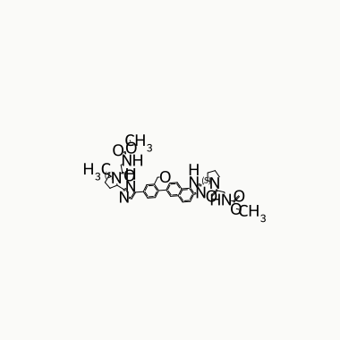 COC(=O)NCC(=O)N1CCC[C@H]1c1nc2ccc3cc4c(cc3c2[nH]1)OCc1cc(-c2cnc(C3CC[C@H](C)N3C(=O)CNC(=O)OC)[nH]2)ccc1-4